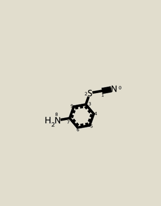 N#CSc1cccc(N)c1